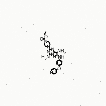 CCOC(=O)N1CCN(c2nc(N)n3nc(Nc4ccc(Oc5ccncc5)cc4)c(N)c3n2)CC1